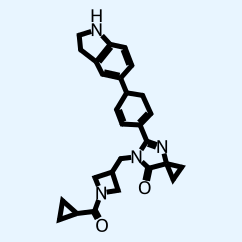 O=C(C1CC1)N1CC(CN2C(=O)C3(CC3)N=C2C2=CCC(c3ccc4c(c3)CCN4)C=C2)C1